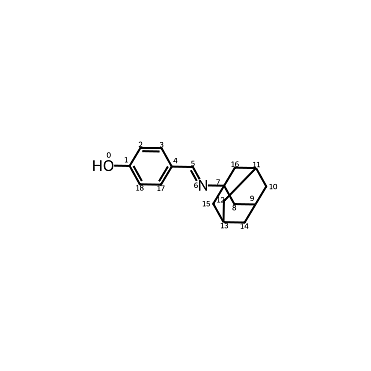 Oc1ccc(/C=N/C23CC4CC(CC(C4)C2)C3)cc1